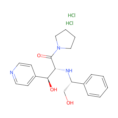 Cl.Cl.O=C([C@H](N[C@@H](CO)c1ccccc1)[C@@H](O)c1ccncc1)N1CCCC1